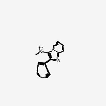 CNc1c(-c2ccccc2)nc2ccccn12